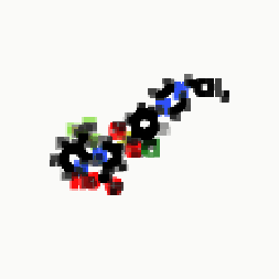 CCN1CCN(c2ccc(S(=O)(=O)[C@@H]3C[C@H](C(=O)O)N(c4ncccc4C(F)(F)F)C3)c(Cl)c2)CC1